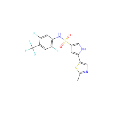 Cc1ncc(-c2cc(S(=O)(=O)Nc3cc(F)c(C(F)(F)F)cc3F)c[nH]2)s1